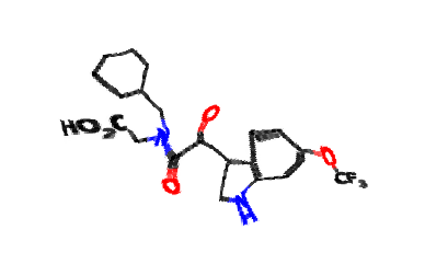 O=C(O)CN(CC1CCCCC1)C(=O)C(=O)C1CNc2cc(OC(F)(F)F)ccc21